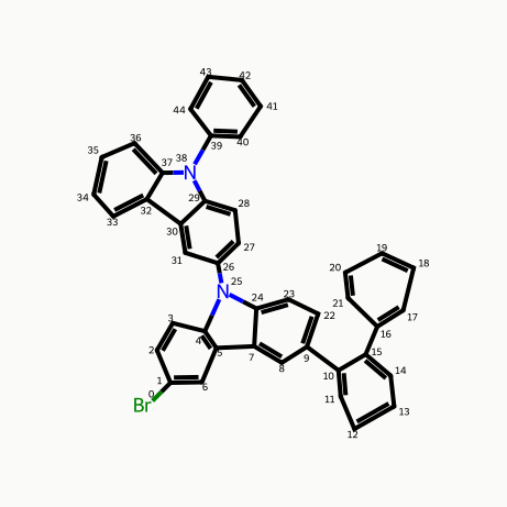 Brc1ccc2c(c1)c1cc(-c3ccccc3-c3ccccc3)ccc1n2-c1ccc2c(c1)c1ccccc1n2-c1ccccc1